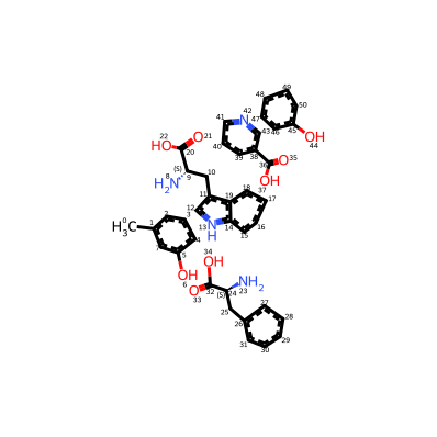 Cc1cccc(O)c1.N[C@@H](Cc1c[nH]c2ccccc12)C(=O)O.N[C@@H](Cc1ccccc1)C(=O)O.O=C(O)c1cccnc1.Oc1ccccc1